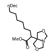 CCCCCCCCCCCCCCCCC(C(=O)OC)C12COCN1COC2